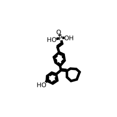 O=P(O)(O)C=Cc1ccc(C(=C2CCCCCC2)c2ccc(O)cc2)cc1